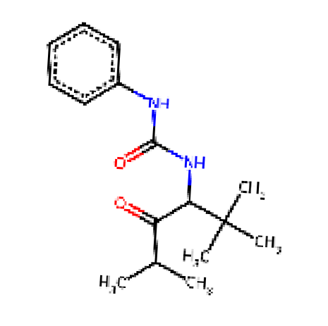 CC(C)C(=O)C(NC(=O)Nc1ccccc1)C(C)(C)C